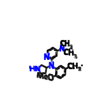 [CH2]c1ccc(OC)c(N(c2cc(N(C)C)ccn2)C2CCNC2)c1